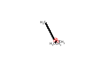 CCCCC/C=C/C/C=C/CCCCCCCC(=O)OC(C(=O)OCC)C(C)C